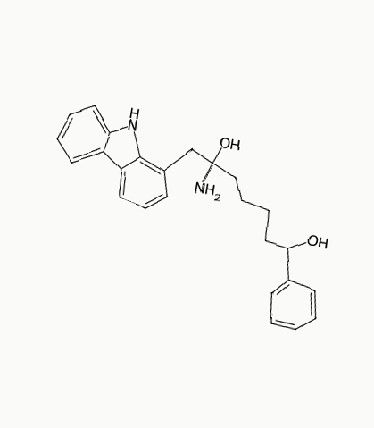 NC(O)(CCCCC(O)c1ccccc1)Cc1cccc2c1[nH]c1ccccc12